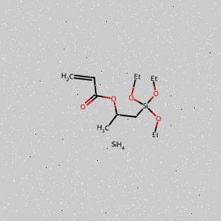 C=CC(=O)OC(C)C[Si](OCC)(OCC)OCC.[SiH4]